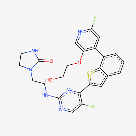 O=C1NCCN1CCNc1ncc(F)c(-c2cc3cccc(-c4cc(F)ncc4OCCO)c3s2)n1